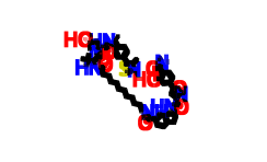 Cc1ncsc1-c1ccc([C@H](C)NC(=O)[C@@H]2C[C@@H](O)CN2C(=O)C(NC(=O)CCCCCCCCCCCNC(=O)c2ccc3c(c2)[C@H](NC(=O)c2cc(-c4ccc(C(=O)N(C)C)c(O)c4)on2)CC3)C(C)(C)C)cc1